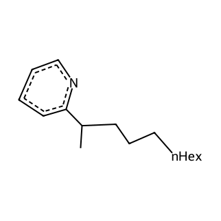 CCCCCCCCCC(C)c1ccccn1